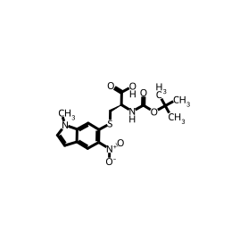 Cn1ccc2cc([N+](=O)[O-])c(SC[C@H](NC(=O)OC(C)(C)C)C(=O)O)cc21